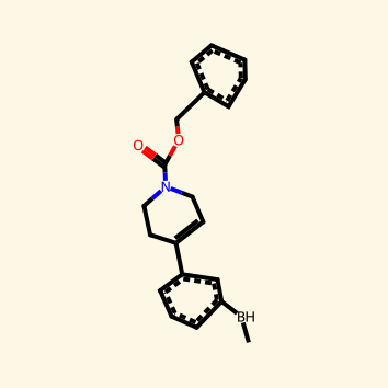 CBc1cccc(C2=CCN(C(=O)OCc3ccccc3)CC2)c1